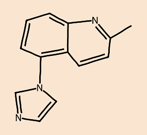 Cc1ccc2c(-n3ccnc3)cccc2n1